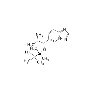 CC(N)C(O[Si](C)(C)C(C)(C)C)c1ccc2ncnn2c1